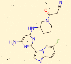 N#CCC(=O)N1CCC[C@@H](Nc2cc(N)nc(-c3cnc4ccc(F)cn34)n2)C1